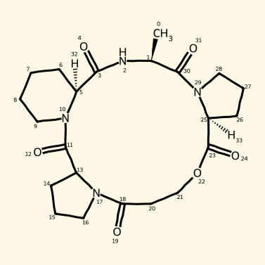 C[C@@H]1NC(=O)[C@@H]2CCCCN2C(=O)C2CCCN2C(=O)CCOC(=O)[C@@H]2CCCN2C1=O